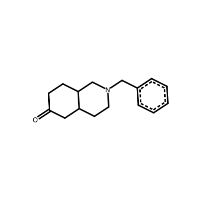 O=C1CCC2CN(Cc3ccccc3)CCC2C1